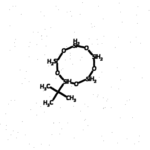 CC(C)(C)[SiH]1O[SiH2]O[SiH2]O[SiH2]O[SiH2]O1